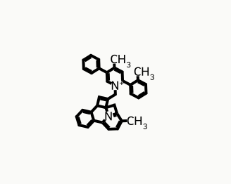 Cc1cc(-c2ccccc2C)[n+](CC2=CC3c4ccccc4-c4ccc(C)c5[n+]4C23C5)cc1-c1ccccc1